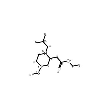 CCOC(=O)CC1CN(SI)CCN1CC(C)C